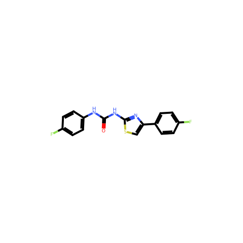 O=C(Nc1ccc(F)cc1)Nc1nc(-c2ccc(F)cc2)cs1